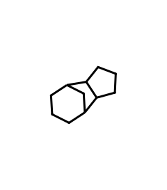 C1CC2CC(C1)C1CCCC21